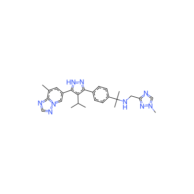 Cc1cc(-c2[nH]nc(-c3ccc(C(C)(C)NCc4ncn(C)n4)cc3)c2C(C)C)cn2ncnc12